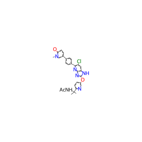 CC(=O)NC(C)(C)c1ccc(Oc2nc3nc(-c4ccc(-c5ccc(=O)n(C)c5)cc4)c(Cl)cc3[nH]2)cn1